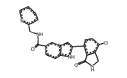 O=C(NCc1ccccn1)c1ccc2[nH]c(-c3ccc(Cl)c4c3C(=O)NC4)cc2c1